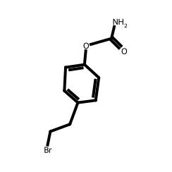 NC(=O)Oc1ccc(CCBr)cc1